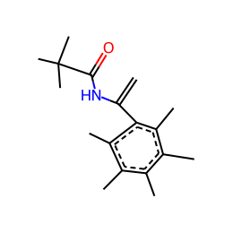 C=C(NC(=O)C(C)(C)C)c1c(C)c(C)c(C)c(C)c1C